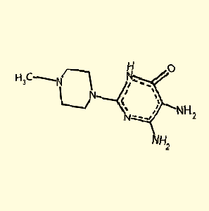 CN1CCN(c2nc(N)c(N)c(=O)[nH]2)CC1